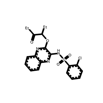 CCC(=O)C(CC)Oc1nc2ccccc2nc1NS(=O)(=O)c1ccccc1Cl